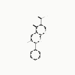 O=C(O)c1c[nH]c2nc(-c3ccccc3)c(F)cc2c1=O